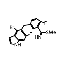 CSC(=N)c1cc(Cc2c(F)cc3[nH]ccc3c2Br)ccc1F